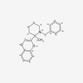 CC1(C2=COc3ccccc3O2)CCCCN1Cc1ccccc1